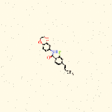 O=C(Nc1ccc2c(c1)OCCO2)c1ccc(C=CC(F)(F)F)cc1F